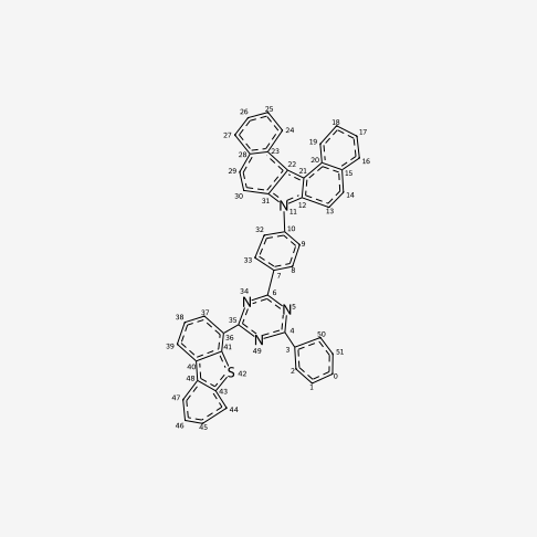 c1ccc(-c2nc(-c3ccc(-n4c5ccc6ccccc6c5c5c6ccccc6ccc54)cc3)nc(-c3cccc4c3sc3ccccc34)n2)cc1